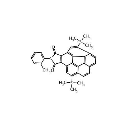 Cc1ccccc1-n1c(=O)c2c3cc([Si](C)(C)C)c4ccc5ccc6c([Si](C)(C)C)cc(c2c1=O)c1c6c5c4c31